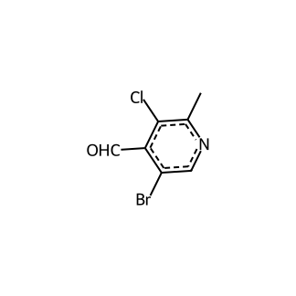 Cc1ncc(Br)c(C=O)c1Cl